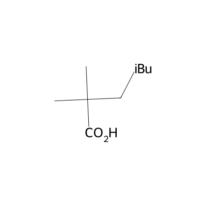 CCC(C)CC(C)(C)C(=O)O